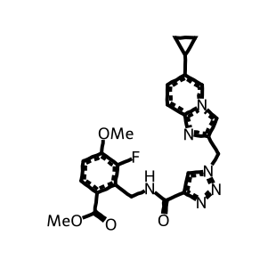 COC(=O)c1ccc(OC)c(F)c1CNC(=O)c1cn(Cc2cn3cc(C4CC4)ccc3n2)nn1